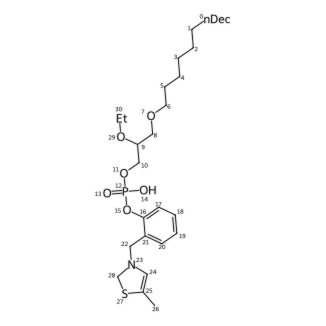 CCCCCCCCCCCCCCCCOCC(COP(=O)(O)Oc1ccccc1CN1C=C(C)SC1)OCC